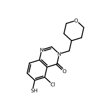 O=c1c2c(Cl)c(S)ccc2ncn1CC1CCOCC1